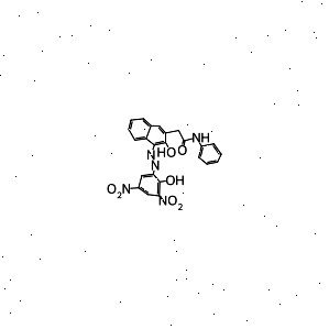 O=C(Cc1cc2ccccc2c(N=Nc2cc([N+](=O)[O-])cc([N+](=O)[O-])c2O)c1O)Nc1ccccc1